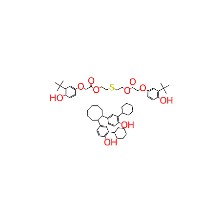 CC(C)(C)c1cc(OCC(=O)OCCSCCOC(=O)COc2ccc(O)c(C(C)(C)C)c2)ccc1O.Oc1ccc(C2CCCCCCC2c2ccc(O)c(C3CCCCC3)c2)cc1C1CCCCC1